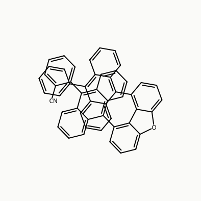 N#Cc1ccccc1-c1c2ccccc2c(-c2cccc3oc4cccc(-c5c6ccccc6c(-c6ccccc6)c6ccccc56)c4c23)c2ccccc12